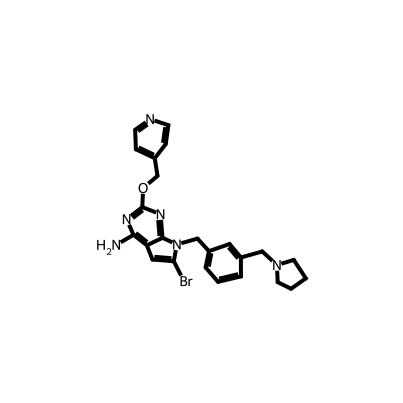 Nc1nc(OCc2ccncc2)nc2c1cc(Br)n2Cc1cccc(CN2CCCC2)c1